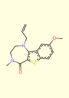 C=CCN1CCN(C)C(=O)c2sc3ccc(OC)cc3c21